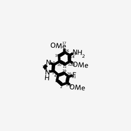 COc1ccc(-c2[nH]cnc2-c2cc(OC)c(N)c(OC)c2)cc1F